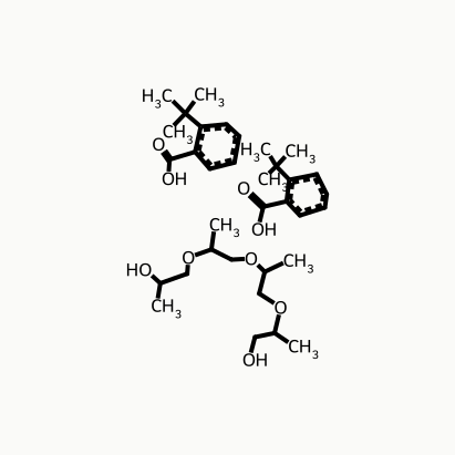 CC(C)(C)c1ccccc1C(=O)O.CC(C)(C)c1ccccc1C(=O)O.CC(O)COC(C)COC(C)COC(C)CO